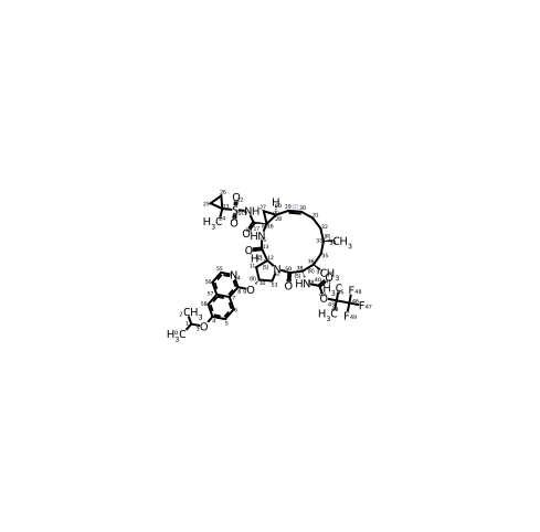 CC(C)Oc1ccc2c(O[C@@H]3C[C@H]4C(=O)N[C@]5(C(=O)NS(=O)(=O)C6(C)CC6)C[C@H]5/C=C\CC[C@@H](C)C[C@@H](C)[C@H](NC(=O)OC(C)(C)C(F)(F)F)C(=O)N4C3)nccc2c1